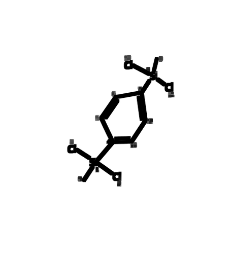 C[Si](Cl)(Cl)c1ccc([Si](C)(Cl)Cl)cc1